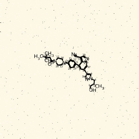 C[C@H](CO)Cn1cc(-c2cc(-c3ccc(N4CCN(C(=O)CC(C)(C)C)CC4)cc3)c3c(C#N)cnn3c2)cn1